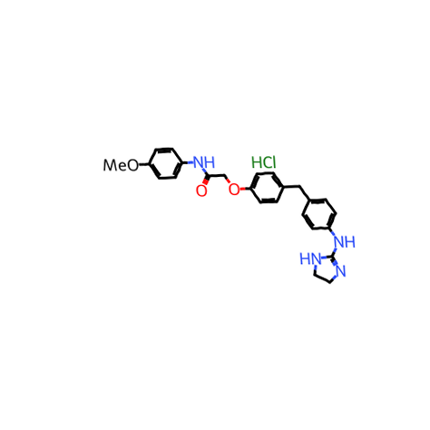 COc1ccc(NC(=O)COc2ccc(Cc3ccc(NC4=NCCN4)cc3)cc2)cc1.Cl